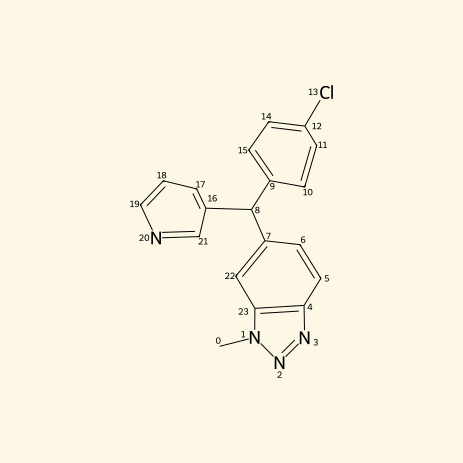 Cn1nnc2ccc(C(c3ccc(Cl)cc3)c3cccnc3)cc21